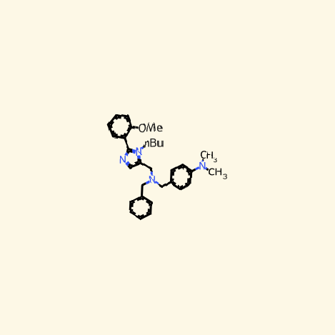 CCCCn1c(CN(Cc2ccccc2)Cc2ccc(N(C)C)cc2)cnc1-c1ccccc1OC